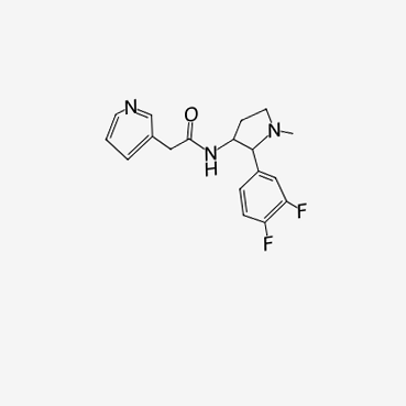 CN1CCC(NC(=O)Cc2cccnc2)C1c1ccc(F)c(F)c1